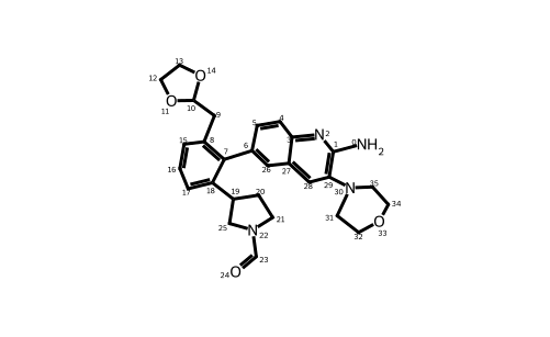 Nc1nc2ccc(-c3c(CC4OCCO4)cccc3C3CCN(C=O)C3)cc2cc1N1CCOCC1